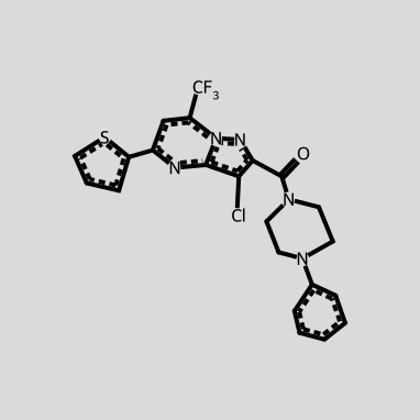 O=C(c1nn2c(C(F)(F)F)cc(-c3cccs3)nc2c1Cl)N1CCN(c2ccccc2)CC1